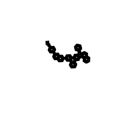 N#Cc1ccc(-c2ccc3ccc(-c4ccc5c(c4)c4ccccc4c4cc6c7c8ccccc8ccc7n(-c7ccccc7)c6cc54)cc3c2)cc1